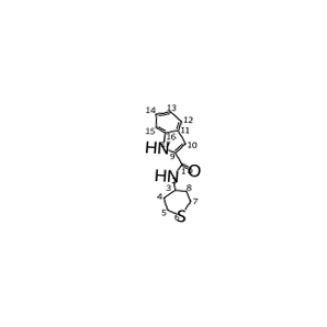 O=C(NC1CCSCC1)c1cc2ccccc2[nH]1